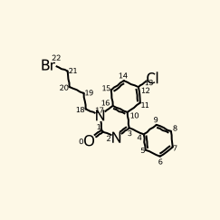 O=c1nc(-c2ccccc2)c2cc(Cl)ccc2n1CCCCBr